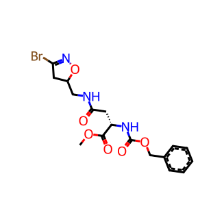 COC(=O)[C@H](CC(=O)NCC1CC(Br)=NO1)NC(=O)OCc1ccccc1